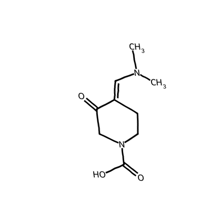 CN(C)C=C1CCN(C(=O)O)CC1=O